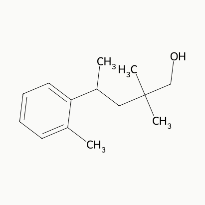 Cc1ccccc1C(C)CC(C)(C)CO